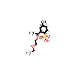 CCOCCOC(C)c1cc(C)ccc1S(=O)(=O)O